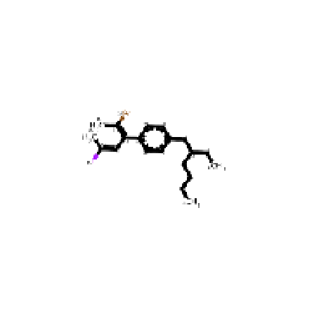 CCCCC(CC)Cc1ccc(C(/C=C(\C)I)=C(/C)Br)cc1